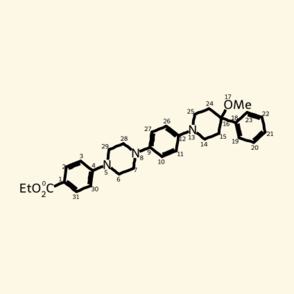 CCOC(=O)c1ccc(N2CCN(c3ccc(N4CCC(OC)(c5ccccc5)CC4)cc3)CC2)cc1